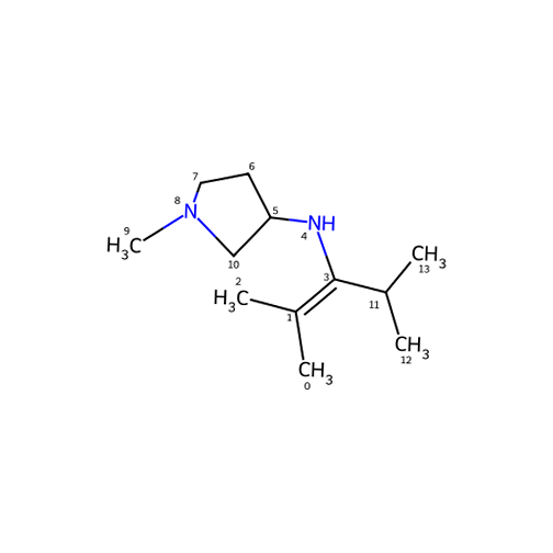 CC(C)=C(NC1CCN(C)C1)C(C)C